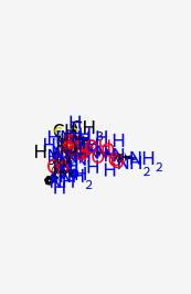 CSCC[C@@H](NC(=O)[C@@H](C)NC(=O)[C@@H](Cc1c[nH]c2ccccc12)NC(=O)[C@H]1CCCN1C(=O)[C@@H](Cc1c[nH]cn1)NC(=O)[C@@H](Cc1c[nH]c2ccccc12)NC(=O)[C@H](N)Cc1ccccc1)C(=O)N[C@H](CCSC)C(=O)N[C@H](Cc1ccc(O)cc1)C(=O)N[C@H](CCCCN)C(=O)NCC(=O)NCC(=O)NCC(=O)NCC(=O)N[C@H](CCCCN)C(N)=O